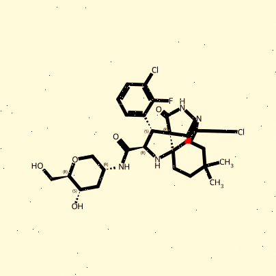 CC1(C)CCC2(CC1)N[C@@H](C(=O)N[C@H]1CO[C@H](CO)[C@@H](O)C1)[C@H](c1cccc(Cl)c1F)[C@]21C(=O)Nc2nc(Cl)ccc21